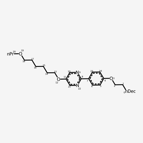 CCCCCCCCCCCCOc1ccc(-c2ncc(OCCCCCCOCCC)cn2)cc1